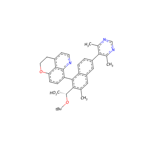 Cc1cc2cc(-c3c(C)ncnc3C)ccc2c(-c2ccc3c4c(ccnc24)CCO3)c1[C@H](OC(C)(C)C)C(=O)O